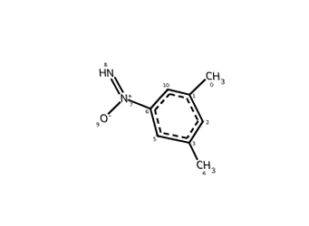 Cc1cc(C)cc([N+](=N)[O-])c1